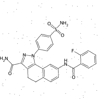 NC(=O)c1nn(-c2ccc(S(N)(=O)=O)cc2)c2c1CCc1ccc(NC(=O)c3ccccc3F)cc1-2